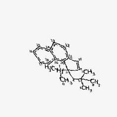 [CH3][Hf]([CH3])[C]1(CC(C)(C)C)C=Cc2ccc3ccccc3c21